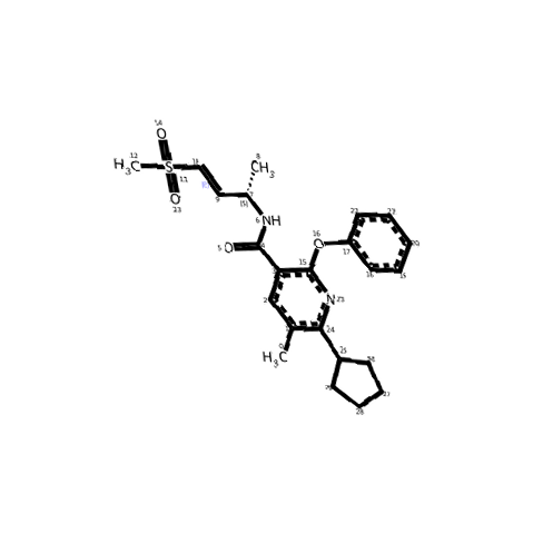 Cc1cc(C(=O)N[C@@H](C)/C=C/S(C)(=O)=O)c(Oc2ccccc2)nc1C1CCCC1